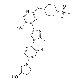 Cc1nc(-c2nc(NC3CCN(S(C)(=O)=O)CC3)ncc2C(F)(F)F)cn1-c1ccc(N2CCC(O)C2)cc1F